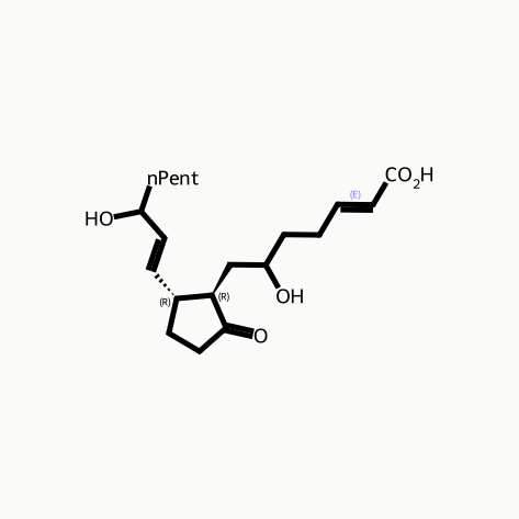 CCCCCC(O)C=C[C@H]1CCC(=O)[C@@H]1CC(O)CC/C=C/C(=O)O